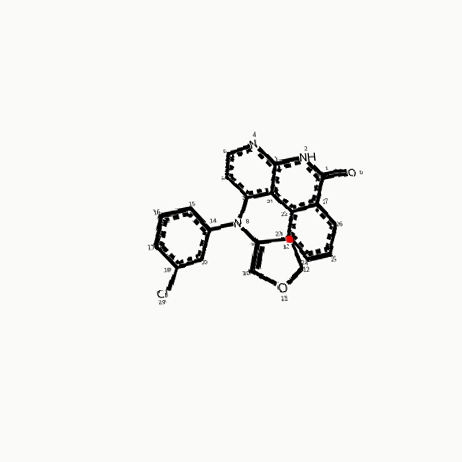 O=c1[nH]c2nccc(N(C3=COCO3)c3cccc(Cl)c3)c2c2ccccc12